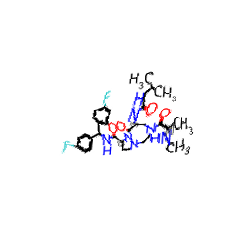 CN[C@H](C)C(=O)N1CCN2CC[C@@H](C(=O)NC(c3ccc(F)cc3)c3ccc(F)cc3)N2C(=O)[C@@H](NC(=O)CC(C)C)C1